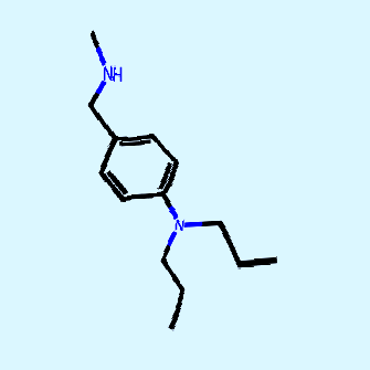 CCCN(CCC)c1ccc(CNC)cc1